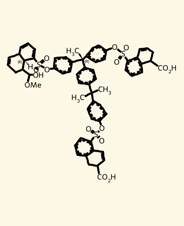 COC(O)C1CC=CC2C=CC=C(S(=O)(=O)Oc3ccc([C@](C)(c4ccc(OS(=O)(=O)c5cccc6c5C=CCC6C(=O)O)cc4)c4ccc(C(C)(C)c5ccc(OS(=O)(=O)c6cccc7c6C=CC(C(=O)O)C7)cc5)cc4)cc3)[C@H]21